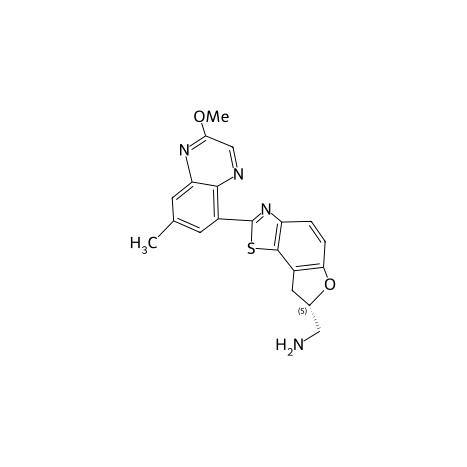 COc1cnc2c(-c3nc4ccc5c(c4s3)C[C@@H](CN)O5)cc(C)cc2n1